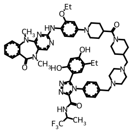 CCOc1cc(N2CCC(C(=O)N3CCC(CN4CCN(Cc5ccc(-n6c(C(=O)NC(C)C(F)(F)F)nnc6-c6cc(CC)c(O)cc6O)cc5)CC4)CC3)CC2)ccc1Nc1ncc2c(n1)N(C)c1ccccc1C(=O)N2C